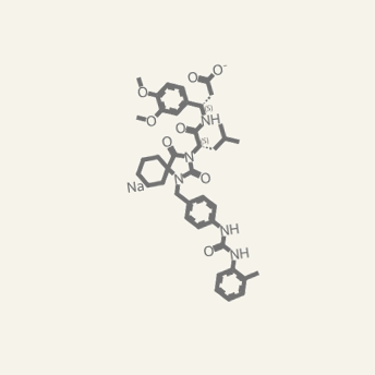 COc1ccc([C@H](CC(=O)[O-])NC(=O)[C@H](CC(C)C)N2C(=O)N(Cc3ccc(NC(=O)Nc4ccccc4C)cc3)C3(CCCCC3)C2=O)cc1OC.[Na+]